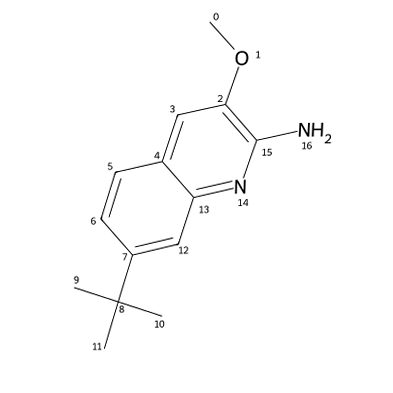 COc1cc2ccc(C(C)(C)C)cc2nc1N